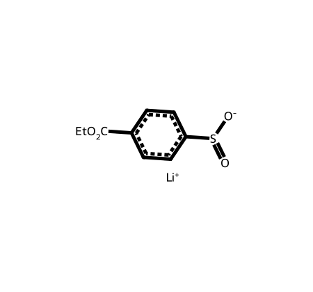 CCOC(=O)c1ccc(S(=O)[O-])cc1.[Li+]